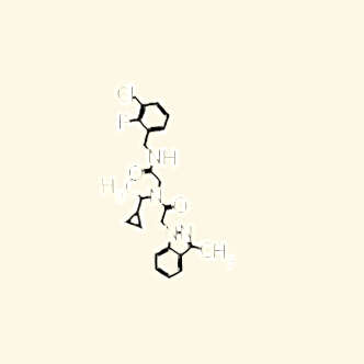 Cc1nn(CC(=O)N(CC(=O)NCc2cccc(Cl)c2F)C(C)C2CC2)c2ccccc12